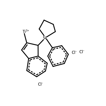 [Cl-].[Cl-].[Cl-].[Ti+3][C]1=Cc2ccccc2C1[Si]1(c2ccccc2)CCCC1